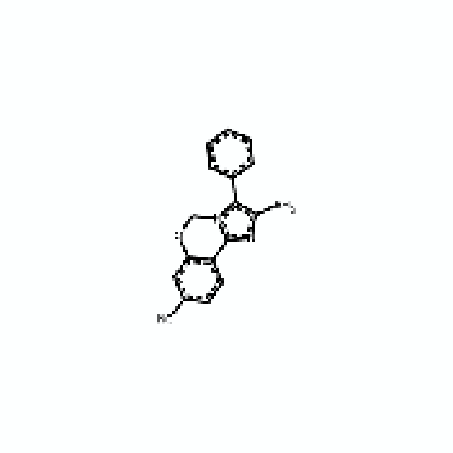 Bc1nc2n(c1-c1ccccc1)COc1cc(C#N)ccc1-2